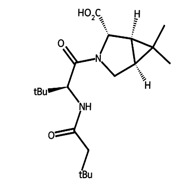 CC(C)(C)CC(=O)N[C@H](C(=O)N1C[C@H]2[C@@H]([C@H]1C(=O)O)C2(C)C)C(C)(C)C